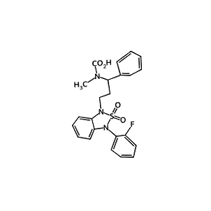 CN(C(=O)O)C(CCN1c2ccccc2N(c2ccccc2F)S1(=O)=O)c1ccccc1